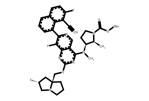 C#Cc1c(F)ccc2cccc(-c3ncc4c(N(C)[C@H]5CCN(C(=O)OC(C)(C)C)[C@H]5C)nc(OC[C@@]56CCCN5C[C@H](F)C6)nc4c3F)c12